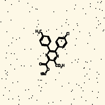 Cc1ccc(-c2nc(C(=O)OC(C)(C)C)c(C(=O)O)nc2-c2ccc(Cl)cc2)cc1